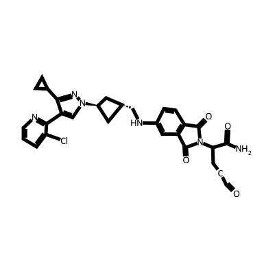 NC(=O)C(CCC=O)N1C(=O)c2ccc(NC[C@H]3C[C@H](n4cc(-c5ncccc5Cl)c(C5CC5)n4)C3)cc2C1=O